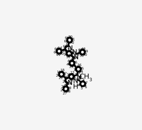 CN1C(c2ccccc2)Nc2c(ccc3c(-c4ccccc4)cc(-c4ccccc4)nc23)C1c1cccc(-c2cccc(-c3nc(-c4ccccc4)nc4c3ccc3c(-c5ccccc5)cc(-c5ccccc5)nc34)c2)c1